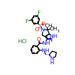 CC1(C)c2[nH]nc(NC(=O)c3ccccc3NC[C@@H]3CCCN3)c2CN1S(=O)(=O)c1cc(F)cc(F)c1.Cl